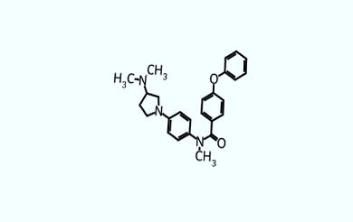 CN(C(=O)c1ccc(Oc2ccccc2)cc1)c1ccc(N2CCC(N(C)C)C2)cc1